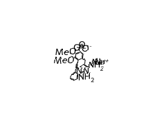 COc1c(P(=O)([O-])[O-])cc(Cc2cnc(N)nc2N)c(C#Cc2ccccc2)c1OC.[Na+].[Na+]